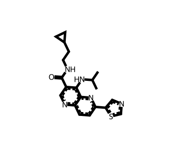 CC(C)Nc1c(C(=O)NCCC2CC2)cnc2ccc(-c3cncs3)nc12